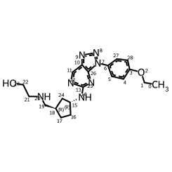 CCOc1ccc(-n2nnc3cnc(N[C@@H]4CC[C@@H](CNCCO)C4)nc32)cc1